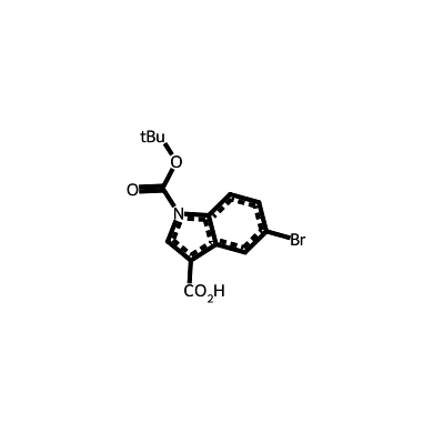 CC(C)(C)OC(=O)n1cc(C(=O)O)c2cc(Br)ccc21